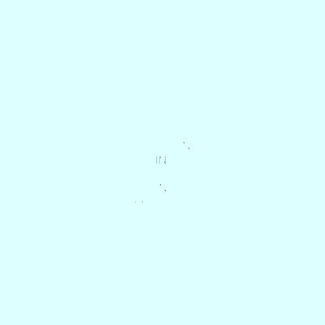 C=NNN=O